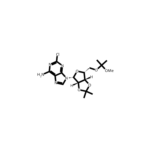 COC(C)(C)OC[C@H]1O[C@@H](n2cnc3c(N)nc(Cl)nc32)[C@H]2OC(C)(C)O[C@H]21